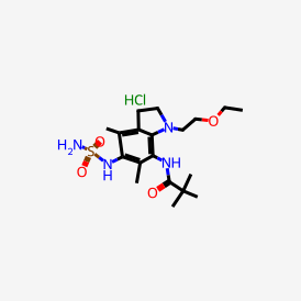 CCOCCN1CCc2c(C)c(NS(N)(=O)=O)c(C)c(NC(=O)C(C)(C)C)c21.Cl